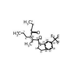 CCCC(=O)N(CCC)C(C)C(=O)N1CCc2ccc(C(F)(F)F)cc21